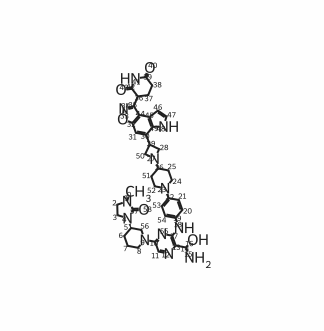 CN1CCN([C@@H]2CCCN(c3cnc(C(N)O)c(Nc4ccc(N5CCC(N6CC(c7cc8onc(C9CCC(=O)NC9=O)c8c8cc[nH]c78)C6)CC5)cc4)n3)C2)C1=O